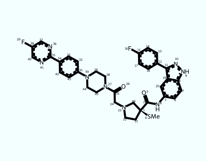 CS[C@@]1(C(=O)Nc2ccc3[nH]nc(-c4ccc(F)cc4)c3c2)CCN(CC(=O)N2CCN(c3ccc(-c4ncc(F)cn4)cc3)CC2)C1